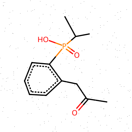 CC(=O)Cc1ccccc1P(=O)(O)C(C)C